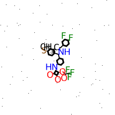 CSc1ccc(C(NC(C)c2ccc(F)c(F)c2)c2cccc(Nc3c(OC(=O)C(F)(F)F)c(=O)c3=O)c2)cc1